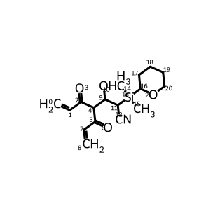 C=CC(=O)C(C(=O)C=C)C(O)C(C#N)[Si](C)(C)C1CCCCO1